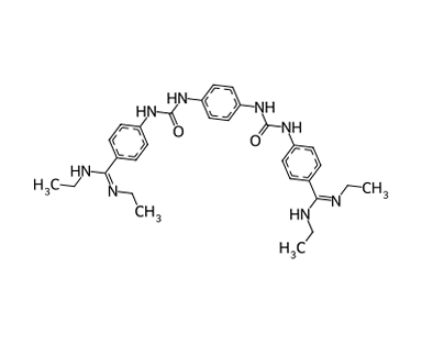 CC/N=C(/NCC)c1ccc(NC(=O)Nc2ccc(NC(=O)Nc3ccc(/C(=N\CC)NCC)cc3)cc2)cc1